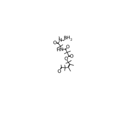 BCN(C)C(=O)C(C)(C)NC(=O)C(C)(C)C(=O)OC(C)(C)/C(C)=C(/C)C(C)(C)C(C)=O